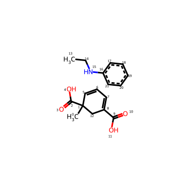 CC1(C(=O)O)C=CC=C(C(=O)O)C1.CCNc1ccccc1